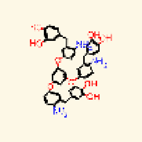 Nc1ccc(Oc2cc(Oc3ccc(N)c(Cc4ccc(O)c(O)c4)c3)cc(Oc3ccc(N)c(Cc4ccc(O)c(O)c4)c3)c2)cc1Cc1ccc(O)c(O)c1